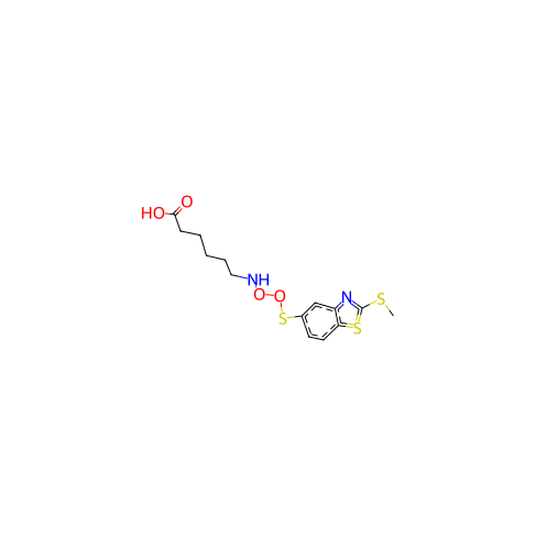 CSc1nc2cc(SOONCCCCCC(=O)O)ccc2s1